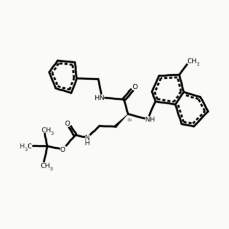 Cc1ccc(N[C@@H](CCNC(=O)OC(C)(C)C)C(=O)NCc2ccccc2)c2ccccc12